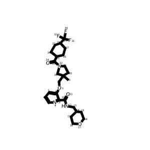 CC1(COc2cccnc2C(=O)NCC2CCOCC2)CCN(C(=O)C2CCC(C(F)(F)F)CC2)C1